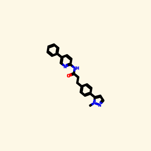 Cn1nccc1-c1ccc(CCC(=O)Nc2ccc(-c3ccccc3)cn2)cc1